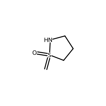 C=S1(=O)CCCN1